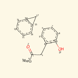 COC(=O)Cc1ccccc1O.c1ccc2c(c1)C2